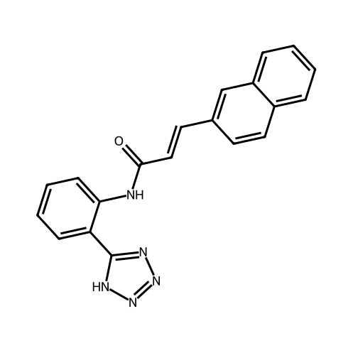 O=C(/C=C/c1ccc2ccccc2c1)Nc1ccccc1-c1nnn[nH]1